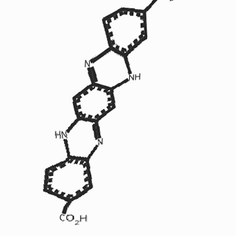 O=C(O)c1ccc2c(c1)N=c1cc3c(cc1N2)=Nc1ccc(C(=O)O)cc1N3